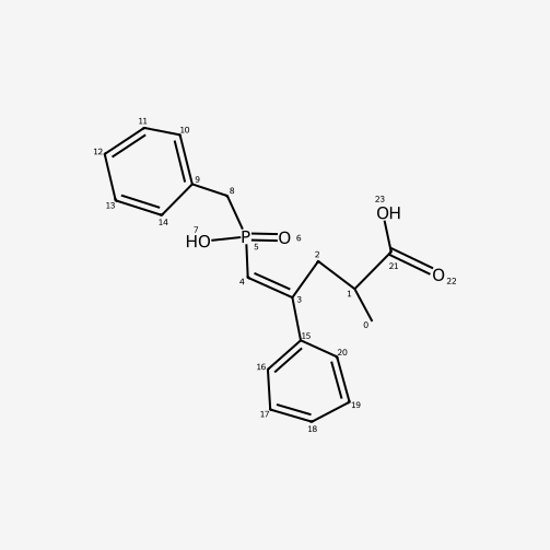 CC(C/C(=C\P(=O)(O)Cc1ccccc1)c1ccccc1)C(=O)O